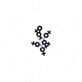 CC(C)(C)c1ccc(N2c3ccc(C(C)(C)C)cc3B3c4sc5cc6c(cc5c4N(c4ccc(C(C)(C)C)cc4)c4cc5c(c2c43)C(C)(C)CC5(C)C)-c2ccccc2C6(C)C)cc1